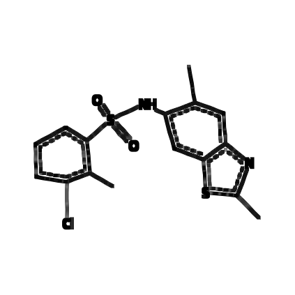 Cc1nc2cc(C)c(NS(=O)(=O)c3cccc(Cl)c3C)cc2s1